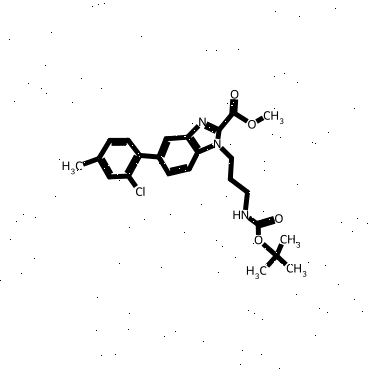 COC(=O)c1nc2cc(-c3ccc(C)cc3Cl)ccc2n1CCCNC(=O)OC(C)(C)C